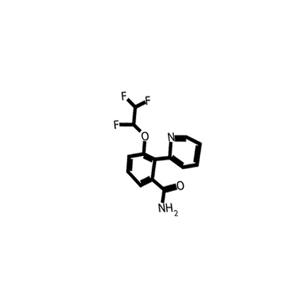 NC(=O)c1cccc(OC(F)C(F)F)c1-c1ccccn1